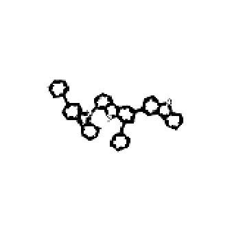 c1ccc(-c2ccc3c4ccccc4n(-c4cccc5c4sc4c(-c6ccccc6)cc(-c6ccc7oc8ccccc8c7c6)cc45)c3c2)cc1